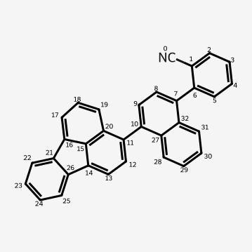 N#Cc1ccccc1-c1ccc(-c2ccc3c4c(cccc24)-c2ccccc2-3)c2ccccc12